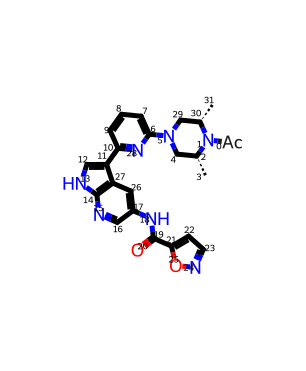 CC(=O)N1[C@H](C)CN(c2cccc(-c3c[nH]c4ncc(NC(=O)c5ccno5)cc34)n2)C[C@@H]1C